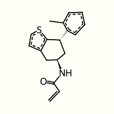 C=CC(=O)N[C@H]1Cc2ccsc2[C@H](c2ccccc2C)C1